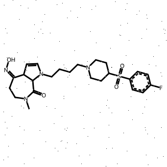 CN1CC/C(=N/O)C2C=CN(CCCCN3CCC(S(=O)(=O)c4ccc(F)cc4)CC3)C2C1=O